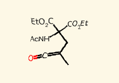 CCOC(=O)C(CC(C)=C=O)(NC(C)=O)C(=O)OCC